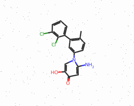 Cc1ccc(-n2cc(O)c(=O)cc2N)cc1-c1cccc(Cl)c1Cl